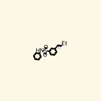 CC/C=C/c1cccc(S(=O)(=O)Nc2ccccc2)c1